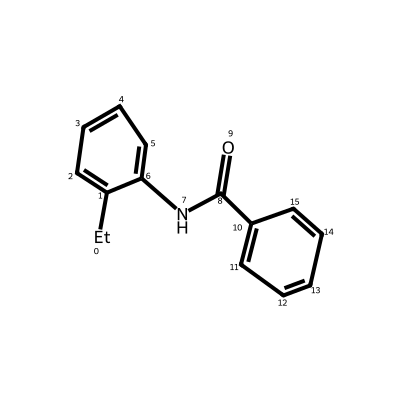 [CH2]Cc1ccccc1NC(=O)c1ccccc1